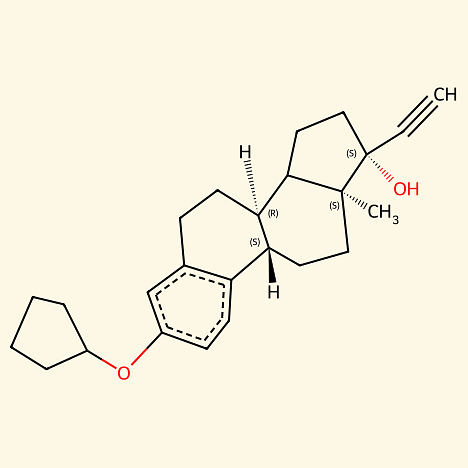 C#C[C@]1(O)CCC2[C@@H]3CCc4cc(OC5CCCC5)ccc4[C@H]3CC[C@@]21C